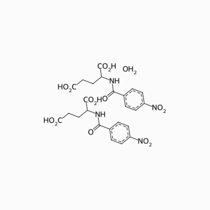 O.O=C(O)CCC(NC(=O)c1ccc([N+](=O)[O-])cc1)C(=O)O.O=C(O)CCC(NC(=O)c1ccc([N+](=O)[O-])cc1)C(=O)O